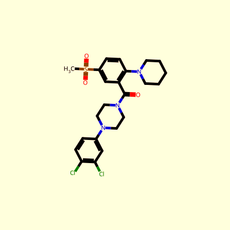 CS(=O)(=O)c1ccc(N2CCCCC2)c(C(=O)N2CCN(c3ccc(Cl)c(Cl)c3)CC2)c1